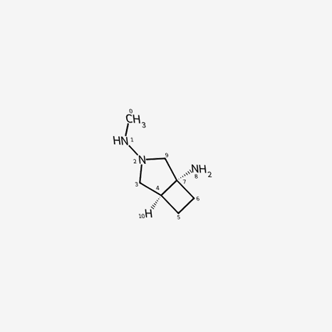 CNN1C[C@@H]2CC[C@]2(N)C1